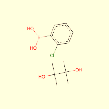 CC(C)(O)C(C)(C)O.OB(O)c1ccccc1Cl